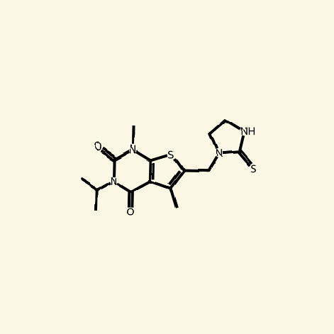 Cc1c(CN2CCNC2=S)sc2c1c(=O)n(C(C)C)c(=O)n2C